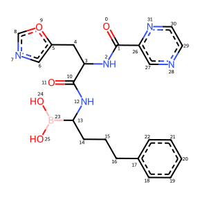 O=C(NC(Cc1cnco1)C(=O)NC(CCCc1ccccc1)B(O)O)c1cnccn1